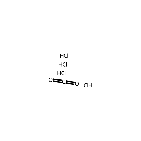 Cl.Cl.Cl.Cl.O=C=O